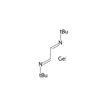 CC(C)(C)N=CC=NC(C)(C)C.[Ge]